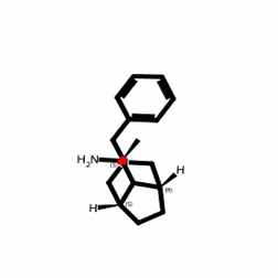 C[C@H](N)C1[C@@H]2CC[C@H]1CN(Cc1ccccc1)C2